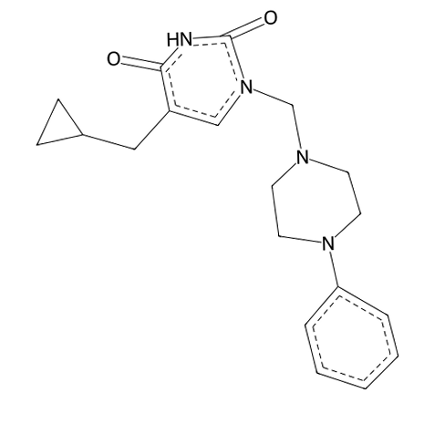 O=c1[nH]c(=O)n(CN2CCN(c3ccccc3)CC2)cc1CC1CC1